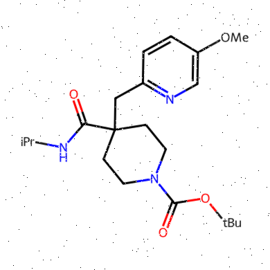 COc1ccc(CC2(C(=O)NC(C)C)CCN(C(=O)OC(C)(C)C)CC2)nc1